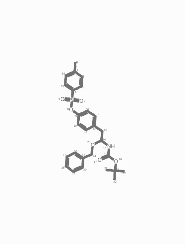 Cc1ccc(S(=O)(=O)Oc2ccc(CC(NC(=O)OC(C)(C)C)OCc3ccccc3)cc2)cc1